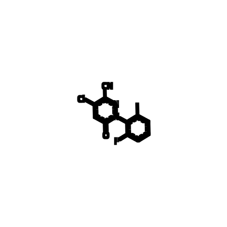 Cc1cccc(F)c1-n1nc(C#N)c(Cl)cc1=O